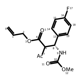 C=CCOC(=O)C(C(C)=O)[C@@H](NC(=O)OC)c1ccc(F)cc1